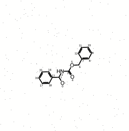 [O]C(NC(=O)OCc1ccccc1)c1ccccc1